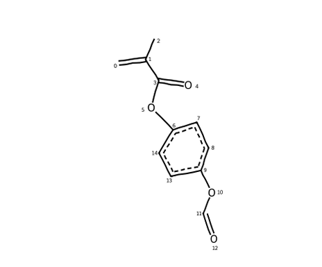 C=C(C)C(=O)Oc1ccc(OC=O)cc1